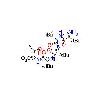 CC[C@H](C)[C@H](NC(=O)[C@@H](N)C(C)(C)C)C(=O)N[C@H](C(=O)N[C@H](C(=O)N[C@H](C(=O)O)[C@@H](C)O)[C@@H](C)CC)C(C)(C)C